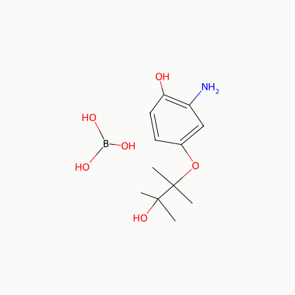 CC(C)(O)C(C)(C)Oc1ccc(O)c(N)c1.OB(O)O